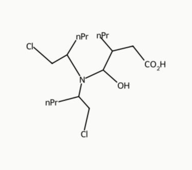 CCCC(CC(=O)O)C(O)N(C(CCl)CCC)C(CCl)CCC